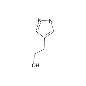 OCCC1=C[N]N=C1